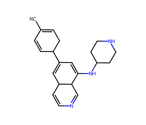 N#CC1=CCC(C2=CC3C=CN=CC3C(NC3CCNCC3)=C2)C=C1